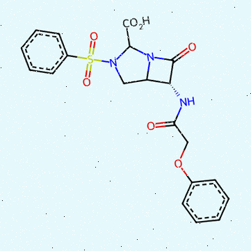 O=C(COc1ccccc1)N[C@H]1C(=O)N2C1CN(S(=O)(=O)c1ccccc1)C2C(=O)O